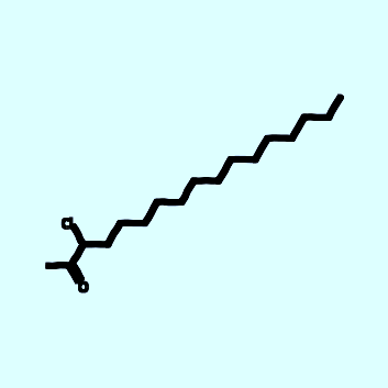 CCCCCCCCCCCCCCC(Cl)C(C)=O